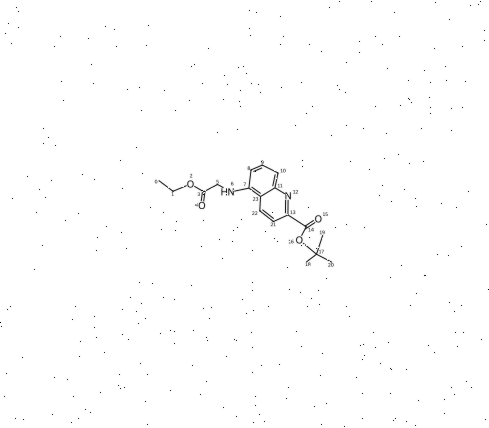 CCOC(=O)CNc1cccc2nc(C(=O)OC(C)(C)C)ccc12